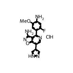 COc1cc(-c2ncc(-c3cn[nH]c3)c3onc(N)c23)c(F)cc1N.Cl